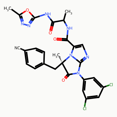 Cc1nnc(NC(=O)C(C)NC(=O)c2cnc3n2[C@](C)(Cc2ccc(C#N)cc2)C(=O)N3c2cc(Cl)cc(Cl)c2)o1